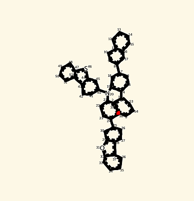 c1ccc(-c2ccc(-c3ccc4ccccc4c3)cc2N(c2ccc(-c3ccc4c(c3)oc3ccccc34)cc2)c2ccc3c(c2)sc2ccccc23)cc1